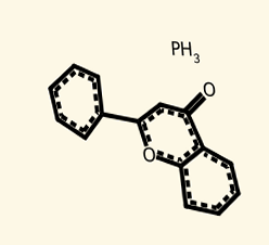 O=c1cc(-c2ccccc2)oc2ccccc12.P